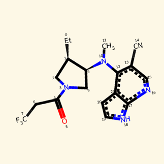 CC[C@@H]1CN(C(=O)CC(F)(F)F)C[C@@H]1N(C)c1c(C#N)cnc2[nH]ccc12